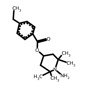 CCc1ccc(C(=O)OC2CC(C)(C)N(N)C(C)(C)C2)cc1